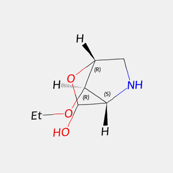 CCO[C@@H]1[C@@H]2NC[C@H]1OC2O